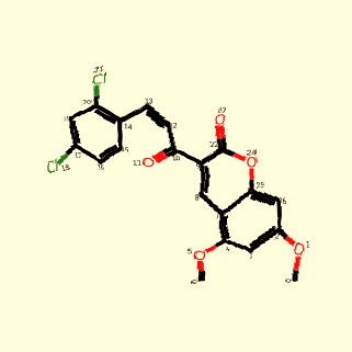 COc1cc(OC)c2cc(C(=O)/C=C\c3ccc(Cl)cc3Cl)c(=O)oc2c1